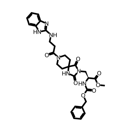 COC(=O)[C@H](CN1C(=O)NC2(CCN(C(=O)CCNc3nc4ccccc4[nH]3)CC2)C1=O)NC(=O)OCc1ccccc1